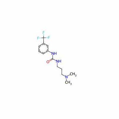 CN(C)CCCNC(=O)Nc1cccc(C(F)(F)F)c1